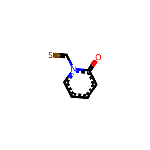 O=c1ccccn1C=S